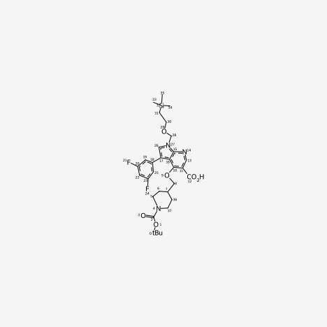 CC(C)(C)OC(=O)N1CCC(COc2c(C(=O)O)cnc3c2c(-c2cc(F)cc(F)c2)cn3COCC[Si](C)(C)C)CC1